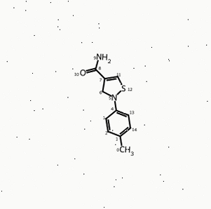 Cc1ccc(N2CC(C(N)=O)=CS2)cc1